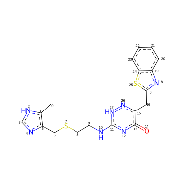 Cc1[nH]cnc1CSCCNc1nc(=O)c(Cc2nc3ccccc3s2)n[nH]1